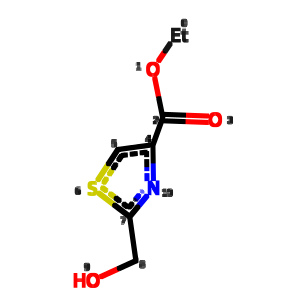 CCOC(=O)c1csc(CO)n1